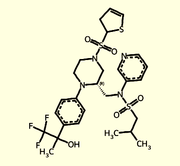 CC(C)CS(=O)(=O)N(C[C@H]1CN(S(=O)(=O)C2CC=CS2)CCN1c1ccc(C(C)(O)C(F)(F)F)cc1)c1cccnc1